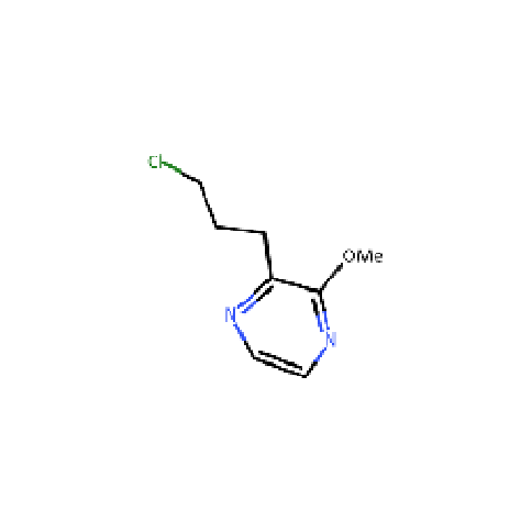 COc1nccnc1CCCCl